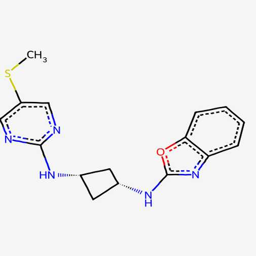 CSc1cnc(N[C@H]2C[C@@H](Nc3nc4ccccc4o3)C2)nc1